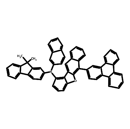 CC1(C)c2ccccc2-c2ccc(N(c3ccc4ccccc4c3)c3cccc4oc5c(-c6ccc7c8ccccc8c8ccccc8c7c6)c6ccccc6cc5c34)cc21